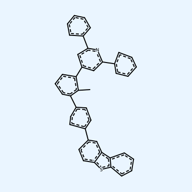 Cc1c(-c2ccc(-c3ccc4sc5ccccc5c4c3)cc2)cccc1-c1cc(-c2ccccc2)nc(-c2ccccc2)c1